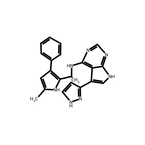 Cc1cc(-c2ccccc2)c(C(C)Nc2ncnc3[nH]cc(-c4cc[nH]n4)c23)[nH]1